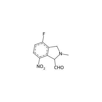 CN1Cc2c(F)ccc([N+](=O)[O-])c2C1C=O